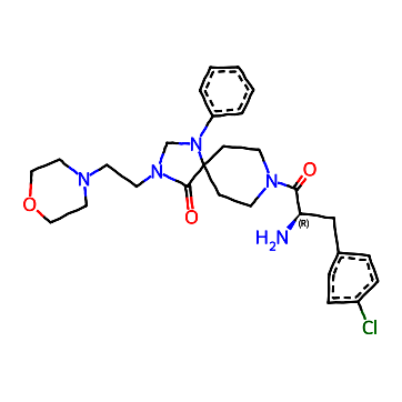 N[C@H](Cc1ccc(Cl)cc1)C(=O)N1CCC2(CC1)C(=O)N(CCN1CCOCC1)CN2c1ccccc1